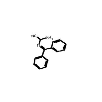 N#CC(N)N=C(c1ccccc1)c1ccccc1